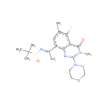 C/C(=N\[S@+]([O-])C(C)(C)C)c1cc(C)c(F)c2c(=O)n(C)c(N3CCOCC3)nc12